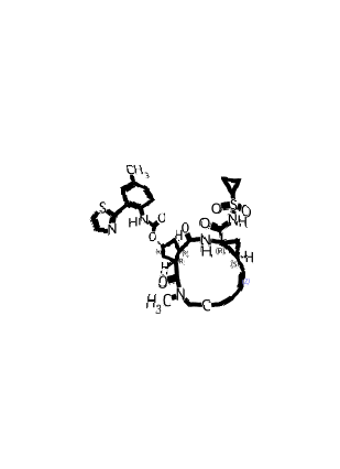 Cc1ccc(NC(=O)O[C@@H]2C[C@H]3C(=O)N[C@]4(C(=O)NS(=O)(=O)C5CC5)C[C@H]4/C=C\CCCCN(C)C(=O)[C@@H]3C2)c(-c2nccs2)c1